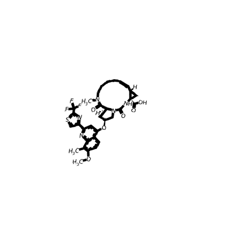 COc1ccc2c(O[C@H]3C[C@H]4C(=O)N(C)CCCC/C=C\[C@@H]5C[C@@]5(C(=O)O)NC(=O)N4C3)cc(-c3csc(C(F)(F)F)n3)nc2c1C